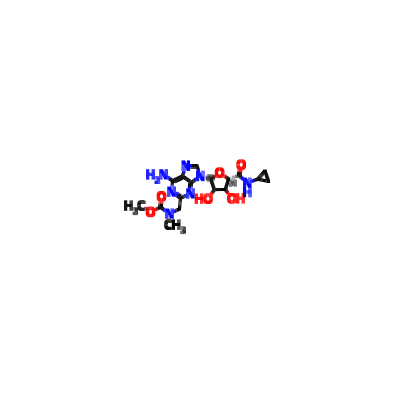 COC(=O)N(C)Cc1nc(N)c2ncn([C@@H]3O[C@H](C(=O)NC4CC4)C(O)C3O)c2n1